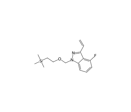 C=Cc1nn(COCC[Si](C)(C)C)c2cccc(F)c12